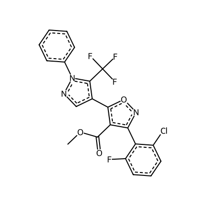 COC(=O)c1c(-c2c(F)cccc2Cl)noc1-c1cnn(-c2ccccc2)c1C(F)(F)F